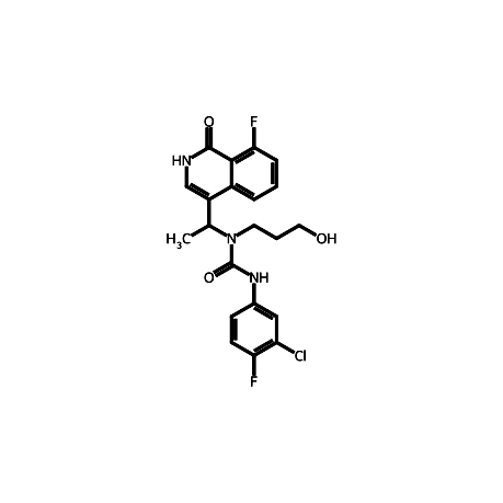 CC(c1c[nH]c(=O)c2c(F)cccc12)N(CCCO)C(=O)Nc1ccc(F)c(Cl)c1